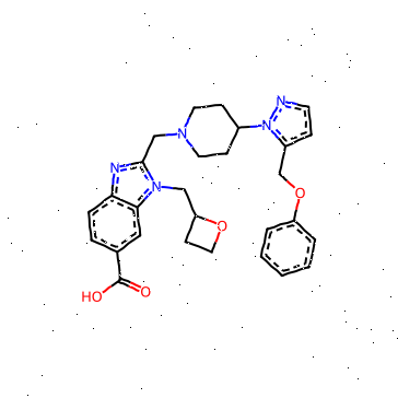 O=C(O)c1ccc2nc(CN3CCC(n4nccc4COc4ccccc4)CC3)n(CC3CCO3)c2c1